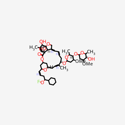 COC1CC(O[C@H]2C(C)OC(O[C@H]3C/C=C/C=C4\CO[C@@H]5C(O)C(C)=C[C@@H](C(=O)OC6CC(/C=C\CC(OF)C7CCCCC7)O[C@H](C/C=C/3C)C6)[C@]45O)CC2OC)OC(C)[C@@H]1O